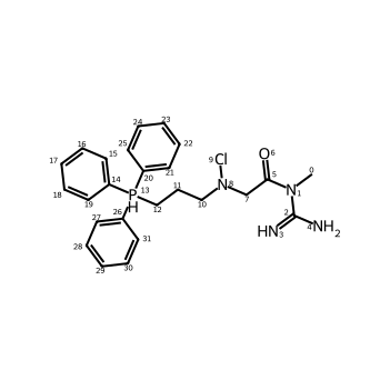 CN(C(=N)N)C(=O)CN(Cl)CCC[PH](c1ccccc1)(c1ccccc1)c1ccccc1